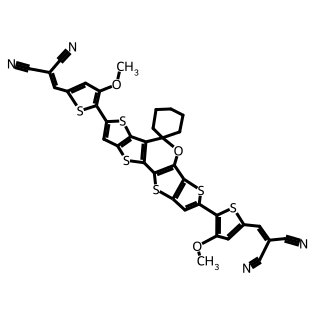 COc1cc(C=C(C#N)C#N)sc1-c1cc2sc3c(c2s1)OC1(CCCCC1)c1c-3sc2cc(-c3sc(C=C(C#N)C#N)cc3OC)sc12